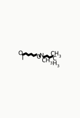 C/C(CCC(C)C)=N\OCCCCCC(=O)I